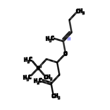 C=C(C)CC(C[N+](C)(C)C)O/C(C)=C/CC